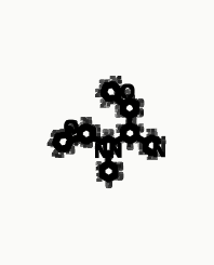 c1ccc(-c2nc(-c3cc(-c4ccncc4)cc(-c4ccc5oc6ccccc6c5c4)c3)cc(-c3ccc4oc5ccccc5c4c3)n2)cc1